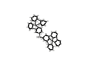 c1ccc2c(c1)-c1ccccc1C21c2ccccc2-c2cc(Nc3ccc4c(c3)-c3ccccc3C43c4ccccc4-c4ccccc43)ccc21